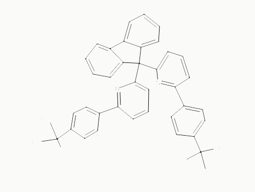 CC(C)(C)c1ccc(-c2cccc(C3(c4cccc(-c5ccc(C(C)(C)C)cc5)n4)c4ccccc4-c4ccccc43)n2)cc1